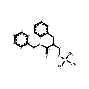 CC(C)(C)[Si](C)(C)OCC(Cc1ccccc1)C(=O)OCc1ccccc1